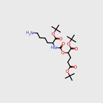 CC(C)(C)OC(=O)CCC(OC(=O)NC(CCCCN)C(=O)OC(C)(C)C)C(=O)OC(C)(C)C